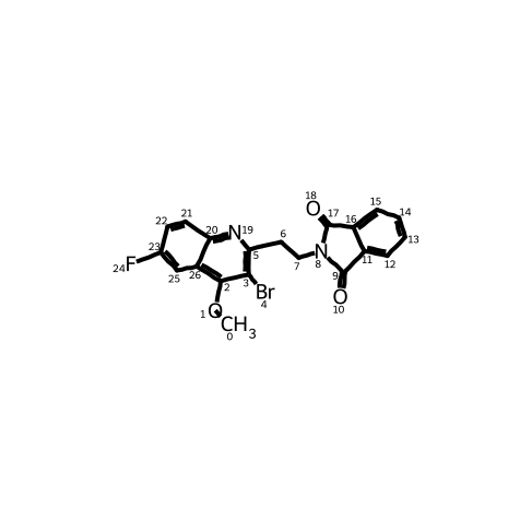 COc1c(Br)c(CCN2C(=O)c3ccccc3C2=O)nc2ccc(F)cc12